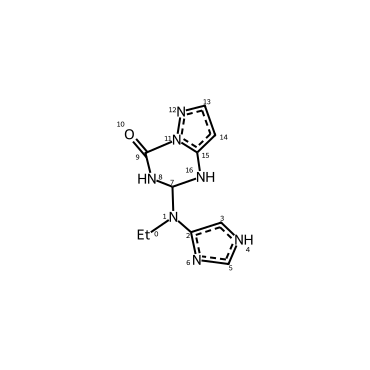 CCN(c1c[nH]cn1)C1NC(=O)n2nccc2N1